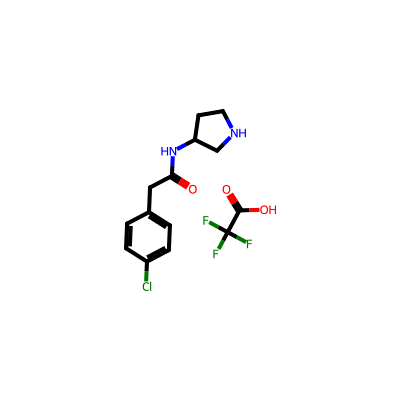 O=C(Cc1ccc(Cl)cc1)NC1CCNC1.O=C(O)C(F)(F)F